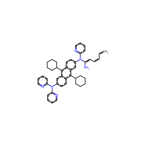 C=C/C=C\C=C(/N)N(c1ccc2c(C3CCCCC3)c3cc(N(c4ccccn4)c4ccccn4)ccc3c(C3CCCCC3)c2c1)c1ccccn1